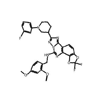 COc1ccc(CNc2nc3c4c(ccc3c3nc(C5CCCN(c6cccc(F)c6)C5)nn23)OC(F)(F)O4)c(OC)c1